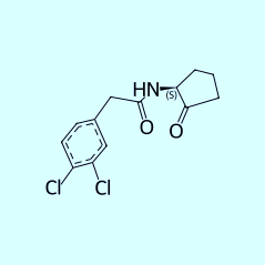 O=C(Cc1ccc(Cl)c(Cl)c1)N[C@H]1CCCC1=O